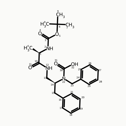 C[C@@H](NC(=O)OC(C)(C)C)C(=O)NC[C@H](Cc1ccccc1)N(Cc1ccccc1)C(=O)O